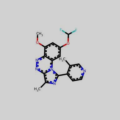 COc1cc(OC(F)F)cc2c1nnc1c(C)nc(-c3ccncc3C)n12